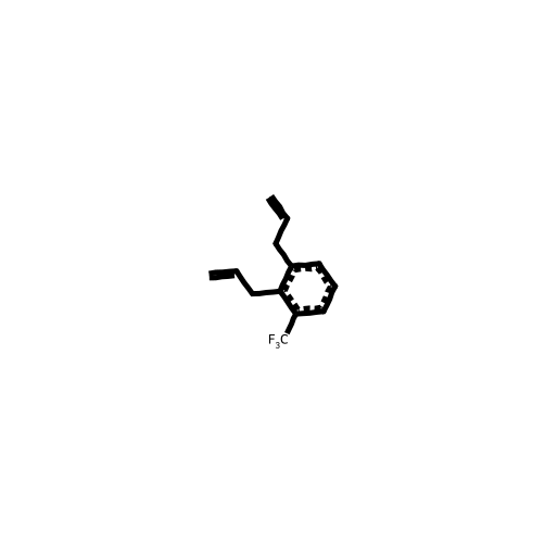 C=CCc1cccc(C(F)(F)F)c1CC=C